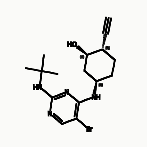 C#C[C@@H]1CC[C@@H](Nc2nc(NC(C)(C)C)ncc2Br)C[C@H]1O